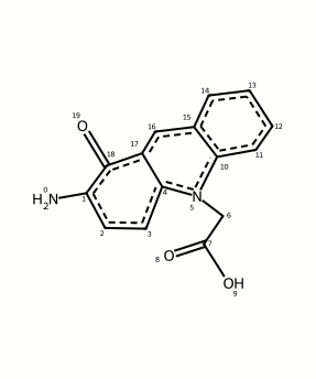 Nc1ccc2n(CC(=O)O)c3ccccc3cc-2c1=O